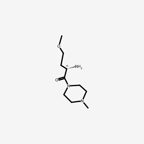 COCC[C@H](N)C(=O)N1CCN(C)CC1